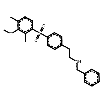 COc1c(C)ccc(S(=O)(=O)c2ccc(CCNCc3ccccc3)cc2)c1C